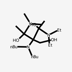 CCCCN(CCCC)C(CO)(C(C)(O)N(C)C)C(C)(O)N(CC)CC